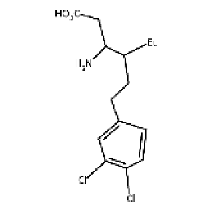 CCC(CCc1ccc(Cl)c(Cl)c1)C(N)CC(=O)O